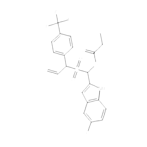 C=CC(c1ccc(C(F)(F)F)cc1)S(=O)(=O)C(OC(=O)CC)c1cc2cc(Cl)ccc2[nH]1